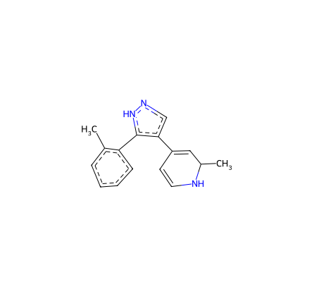 Cc1ccccc1-c1[nH]ncc1C1=CC(C)NC=C1